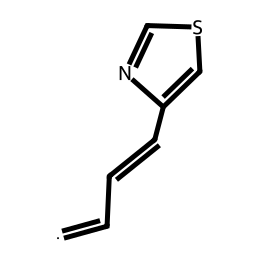 [CH]=CC=Cc1cscn1